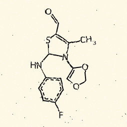 CC1=C(C=O)SC(Nc2ccc(F)cc2)N1C1=COCO1